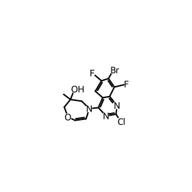 CC1(O)COC=CN(c2nc(Cl)nc3c(F)c(Br)c(F)cc23)C1